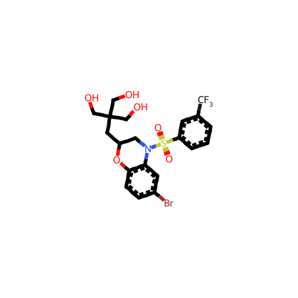 O=S(=O)(c1cccc(C(F)(F)F)c1)N1CC(CC(CO)(CO)CO)Oc2ccc(Br)cc21